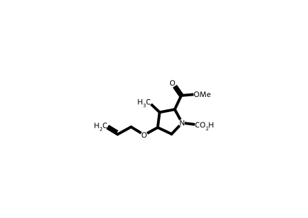 C=CCOC1CN(C(=O)O)C(C(=O)OC)C1C